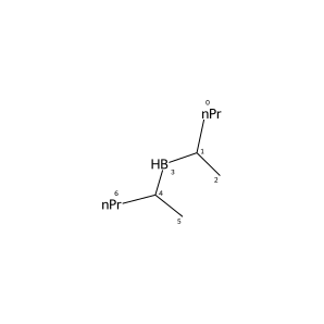 CCCC(C)BC(C)CCC